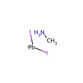 CN.[I][Pb][I]